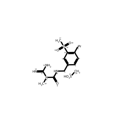 CC(C)c1ccc(CNC(=O)N(C)C(=N)N)cc1S(C)(=O)=O.CS(=O)(=O)O